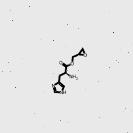 N[C@@H](Cc1c[nH]cn1)C(=O)OCC1CO1